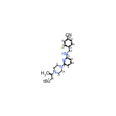 C=C(CC(C)(C)C)N1CCN(c2cccc(NCc3ccc(C#N)cc3F)n2)CC1